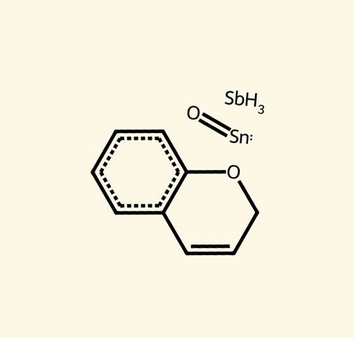 C1=Cc2ccccc2OC1.[O]=[Sn].[SbH3]